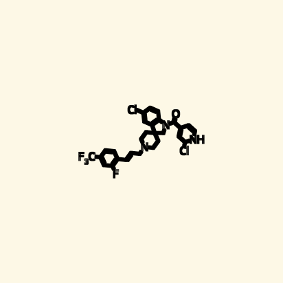 O=C(C1=CC(Cl)NC=C1)N1CC2(CCN(C/C=C/c3ccc(C(F)(F)F)cc3F)CC2)c2cc(Cl)ccc21